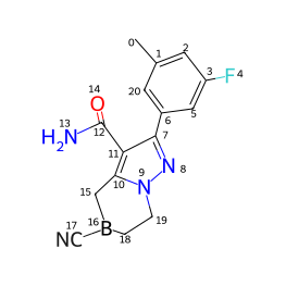 Cc1cc(F)cc(-c2nn3c(c2C(N)=O)CB(C#N)CC3)c1